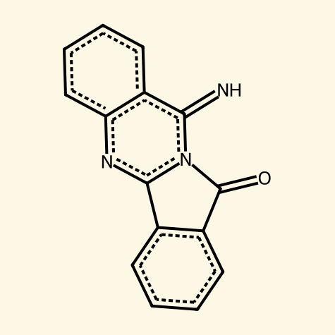 N=c1c2ccccc2nc2n1C(=O)c1ccccc1-2